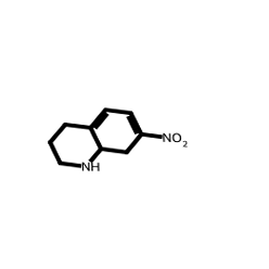 O=[N+]([O-])C1=CC=C2CCCNC2C1